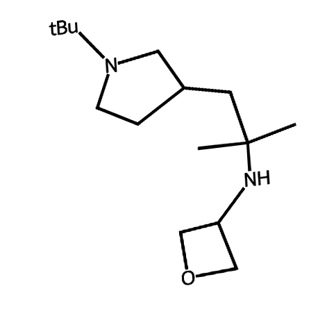 CC(C)(CC1CCN(C(C)(C)C)C1)NC1COC1